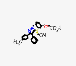 Cc1ccc(-c2nn(C[C@H]3CC[C@@H](COCC(=O)O)CC3)c(SCC#N)c2-c2ccccc2)cc1